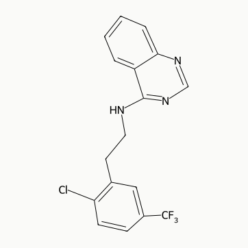 FC(F)(F)c1ccc(Cl)c(CCNc2ncnc3ccccc23)c1